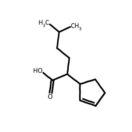 CC(C)CCC(C(=O)O)C1C=CCC1